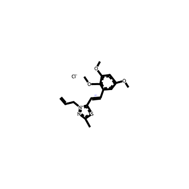 C=CC[n+]1nc(C)sc1/C=C/c1cc(OC)cc(OC)c1OC.[Cl-]